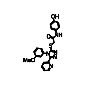 COc1cccc(-n2c(SCC(=O)Nc3ccc(O)cc3)nnc2-c2ccccn2)c1